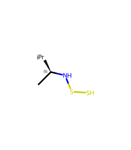 CC(C)[C@H](C)NSS